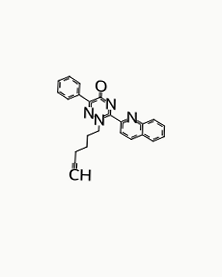 C#CCCCCn1nc(-c2ccccc2)c(=O)nc1-c1ccc2ccccc2n1